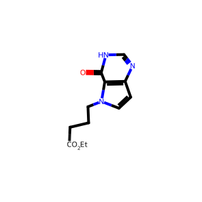 CCOC(=O)CCCn1ccc2nc[nH]c(=O)c21